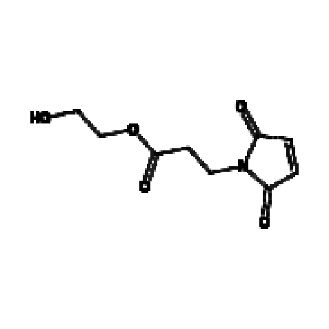 O=C(CCN1C(=O)C=CC1=O)OCCO